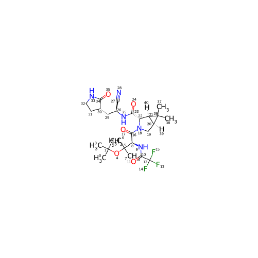 CC(C)(C)OC(C)(C)[C@H](NC(=O)C(F)(F)F)C(=O)N1C[C@H]2[C@@H]([C@H]1C(=O)N[C@H](C#N)C[C@@H]1CCNC1=O)C2(C)C